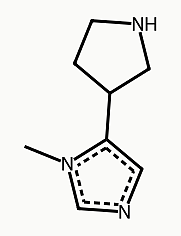 Cn1cncc1C1CCNC1